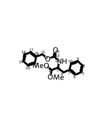 COC(OC)C(Cc1ccccc1)NC(=O)OCc1ccccc1